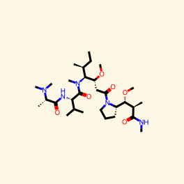 CC[C@H](C)[C@@H]([C@@H](CC(=O)N1CCC[C@H]1[C@H](OC)[C@@H](C)C(=O)NC)OC)N(C)C(=O)[C@@H](NC(=O)[C@H](C)N(C)C)C(C)C